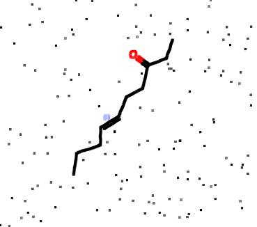 CCC/C=C/CCC(=O)CC